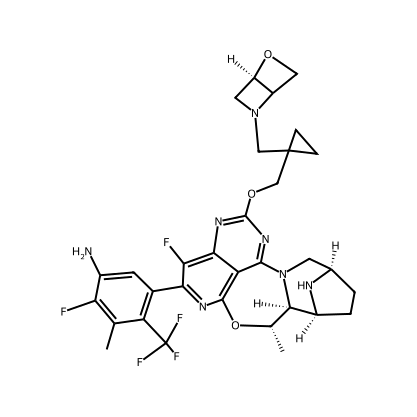 Cc1c(F)c(N)cc(-c2nc3c4c(nc(OCC5(CN6C[C@H]7OCC76)CC5)nc4c2F)N2C[C@H]4CC[C@H](N4)[C@H]2[C@H](C)O3)c1C(F)(F)F